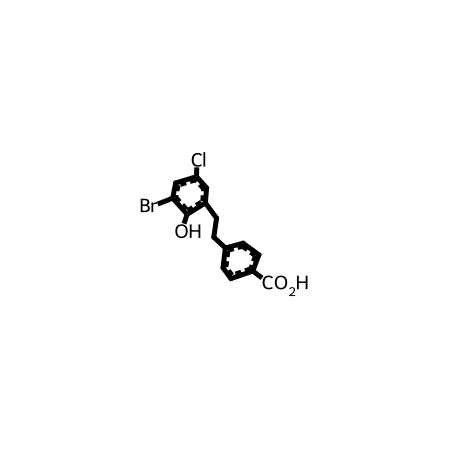 O=C(O)c1ccc(CCc2cc(Cl)cc(Br)c2O)cc1